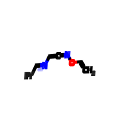 C=CON=C=C/N=C/C(C)C